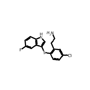 NCCc1cc(Cl)ccc1Sc1c[nH]c2ccc(F)cc12